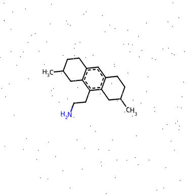 CC1CCc2cc3c(c(CCN)c2C1)CC(C)CC3